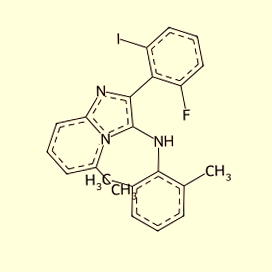 Cc1cccc(C)c1Nc1c(-c2c(F)cccc2I)nc2cccc(C)n12